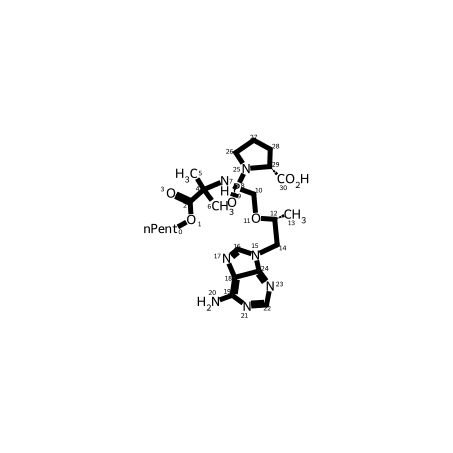 CCCCCOC(=O)C(C)(C)NP(=O)(CO[C@H](C)Cn1cnc2c(N)ncnc21)N1CCC[C@@H]1C(=O)O